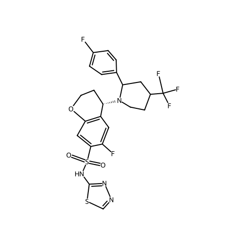 O=S(=O)(Nc1nncs1)c1cc2c(cc1F)[C@@H](N1CCC(C(F)(F)F)CC1c1ccc(F)cc1)CCO2